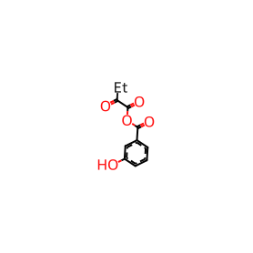 CCC(=O)C(=O)OC(=O)c1cccc(O)c1